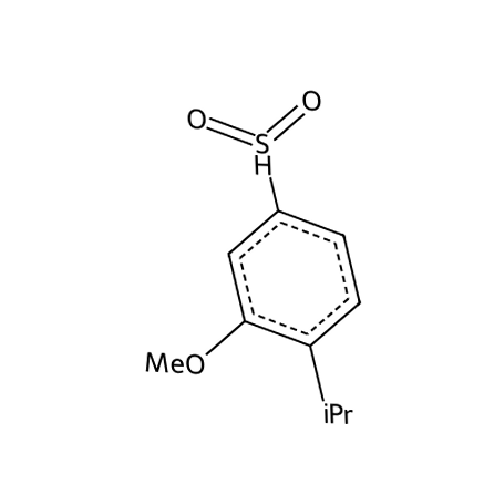 COc1cc([SH](=O)=O)ccc1C(C)C